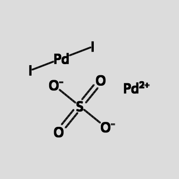 O=S(=O)([O-])[O-].[I][Pd][I].[Pd+2]